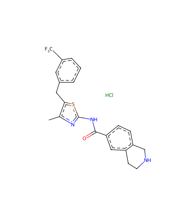 Cc1nc(NC(=O)c2ccc3c(c2)CCNC3)sc1Cc1cccc(C(F)(F)F)c1.Cl